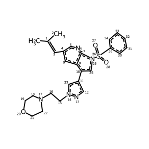 CC(C)=Cc1cnc2c(c1)c(-c1cnn(CCN3CCOCC3)c1)cn2S(=O)(=O)c1ccccc1